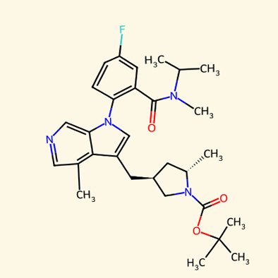 Cc1cncc2c1c(C[C@H]1C[C@H](C)N(C(=O)OC(C)(C)C)C1)cn2-c1ccc(F)cc1C(=O)N(C)C(C)C